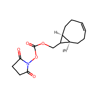 CC(C)[C@@]12CC/C=C\CC[C@@H]1C2COC(=O)ON1C(=O)CCC1=O